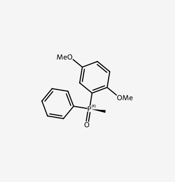 COc1ccc(OC)c([P@](C)(=O)c2ccccc2)c1